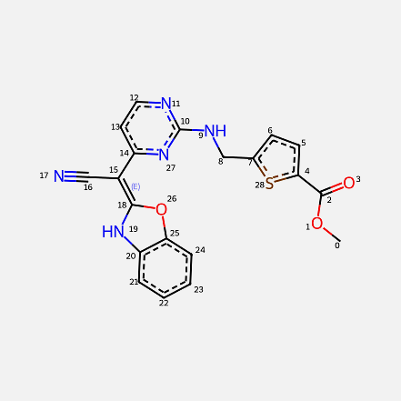 COC(=O)c1ccc(CNc2nccc(/C(C#N)=C3/Nc4ccccc4O3)n2)s1